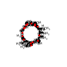 CC(C)NCCCC[C@H]1NC(=O)[C@H](CCCCN)NC(=O)[C@H](CCC(N)=O)NC(=O)[C@H](Cc2ccc(O)cc2)NC(=O)[C@H](CS)NC(=O)[C@H](Cc2ccc(O)cc2)NC(=O)[C@H](CCCNC(=N)N)NC(=O)[C@H](CCCNC(C)C)NC(=O)[C@H]2CCCN2C(=O)[C@H](C)NC(=O)[C@H](CO)NC(=O)[C@H](CS)NC(=O)[C@H](Cc2ccc(O)cc2)NC(=O)[C@H](Cc2c[nH]cn2)NC(=O)[C@H](Cc2ccc(O)cc2)NC(=O)[C@@H]2CCCN2C1=O